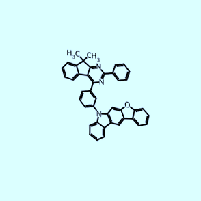 CC1(C)c2ccccc2-c2c(-c3cccc(-n4c5ccccc5c5cc6c(cc54)oc4ccccc46)c3)nc(-c3ccccc3)nc21